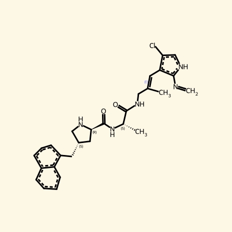 C=Nc1[nH]cc(Cl)c1/C=C(\C)CNC(=O)[C@H](C)NC(=O)[C@H]1C[C@H](Cc2cccc3ccccc23)CN1